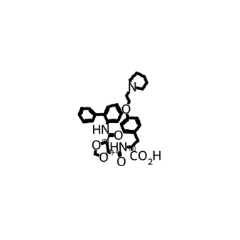 O=C(O)[C@H](Cc1ccc(OCCN2CCCCC2)cc1)NC(=O)[C@@H]1OCO[C@H]1C(=O)Nc1ccccc1-c1ccccc1